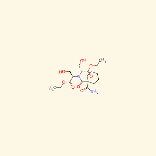 CCOC(=O)[C@@H](CO)N(C(=O)C1(C(N)=O)CCCCC1)[C@H](CO)C(=O)OCC